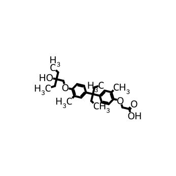 CCC(O)(CC)COc1ccc(C(CC)(CC)c2ccc(OCC(=O)O)c(C)c2)cc1C